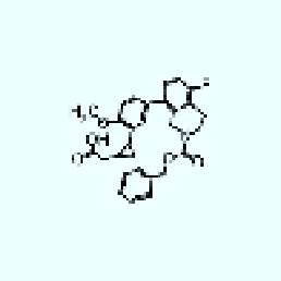 COc1ccc(-c2ccc(F)c3c2CN(C(=O)OCc2ccccc2)CC3)cc1C1CC1CC(=O)O